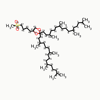 CC(C)CCCC(C)CCCC(C)CCCC(C)CCC1(CCC(C)CCCC(C)CCCC(C)CCCC(C)C)OCC(CCCCS(C)(=O)=O)O1